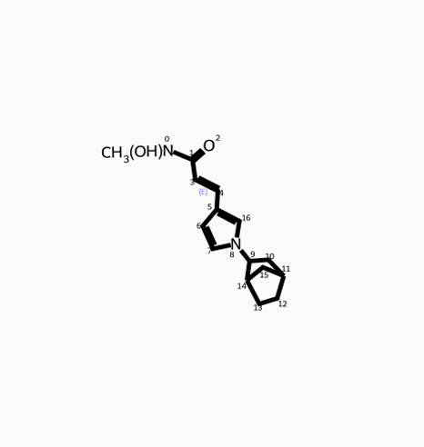 CN(O)C(=O)/C=C/c1ccn(C2CC3CCC2C3)c1